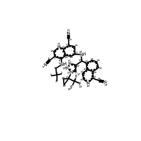 CC(C)(C)CNc1c(C#N)cnc2c(C#N)cc(NC(c3cn(C4(C(F)(F)F)CC4)nn3)c3cccc4c(C#N)nccc34)cc12